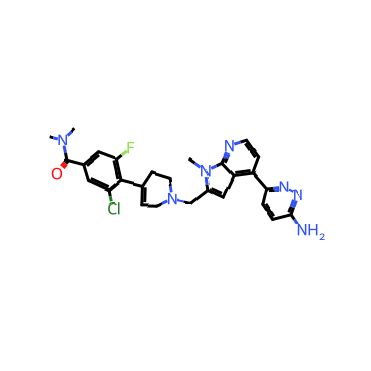 CN(C)C(=O)c1cc(F)c(C2=CCN(Cc3cc4c(-c5ccc(N)nn5)ccnc4n3C)CC2)c(Cl)c1